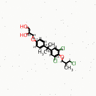 CC(CCl)COc1c(Cl)cc(C(C)(C)c2ccc(OCC(O)CO)cc2)cc1Cl